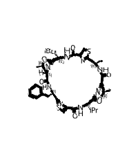 CCC(C)[C@@H]1NC(=O)c2csc(n2)[C@@H](C)NC(=O)C2N=C(O[C@@H]2C)[C@H](C(C)C)NC(=O)c2csc(n2)[C@@H](Cc2ccccc2)NC(=O)[C@H]2N=C1O[C@@H]2C